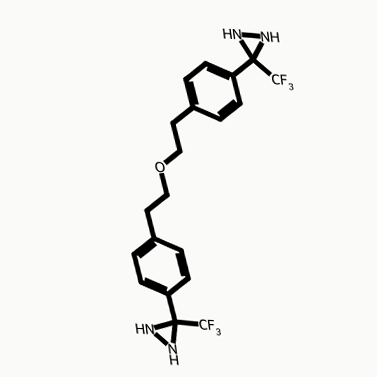 FC(F)(F)C1(c2ccc(CCOCCc3ccc(C4(C(F)(F)F)NN4)cc3)cc2)NN1